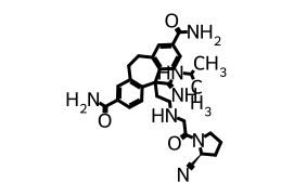 CC(C)NC(=N)C1(CCNCC(=O)N2CCC[C@H]2C#N)c2ccc(C(N)=O)cc2CCc2cc(C(N)=O)ccc21